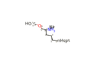 CCCCCCCCCCCCOS(=O)(=O)O.N.[Na]